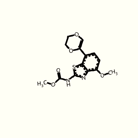 COC(=O)Nc1nc2c(OC)ccc(C3=COCCO3)c2s1